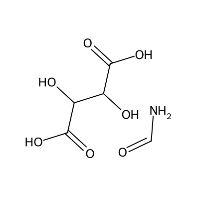 NC=O.O=C(O)C(O)C(O)C(=O)O